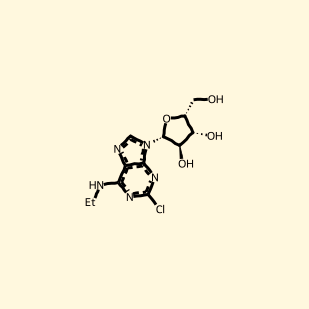 CCNc1nc(Cl)nc2c1ncn2[C@@H]1O[C@H](CO)[C@H](O)[C@H]1O